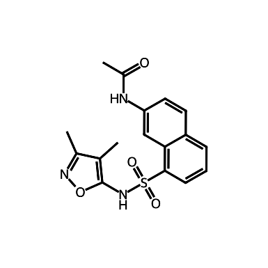 CC(=O)Nc1ccc2cccc(S(=O)(=O)Nc3onc(C)c3C)c2c1